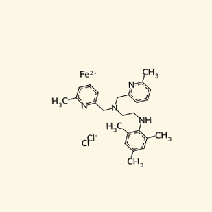 Cc1cc(C)c(NCCN(Cc2cccc(C)n2)Cc2cccc(C)n2)c(C)c1.[Cl-].[Cl-].[Fe+2]